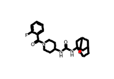 O=C(NC1CCN(C(=O)c2ccccc2F)CC1)NC12CC3CC(CC(C3)O1)C2